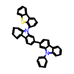 c1ccc(-n2c3ccccc3c3ccc(-c4ccc5c6ccccc6n(-c6cccc7c6sc6ccccc67)c5c4)cc32)cc1